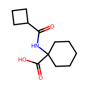 O=C(NC1(C(=O)O)CCCCC1)C1CCC1